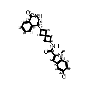 Cn1c(C(=O)N[C@H]2CC3(C2)C[C@H](c2n[nH]c(=O)c4ccccc42)C3)cc2cc(Cl)ccc21